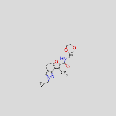 O=C(NC[C@@H]1COCCO1)c1oc2c(c1C(F)(F)F)-c1nn(CC3CC3)cc1CC2